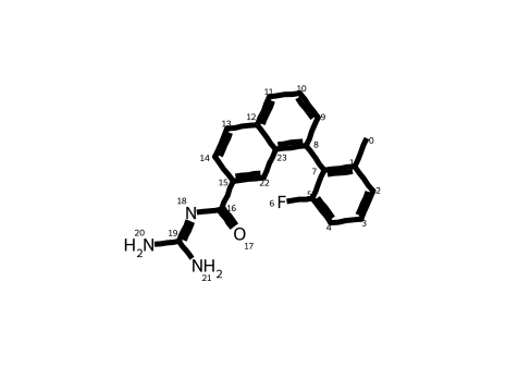 Cc1cccc(F)c1-c1cccc2ccc(C(=O)N=C(N)N)cc12